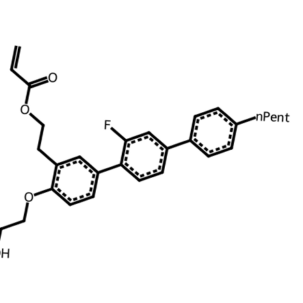 C=CC(=O)OCCc1cc(-c2ccc(-c3ccc(CCCCC)cc3)cc2F)ccc1OCCO